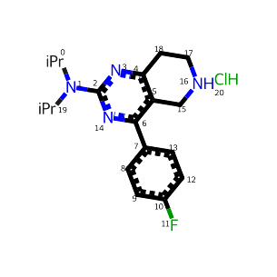 CC(C)N(c1nc2c(c(-c3ccc(F)cc3)n1)CNCC2)C(C)C.Cl